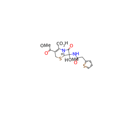 COC(=O)C1=C(C(=O)O)N2C(=O)C(NC(=O)Cc3cccs3)(OC)[C@H]2SC1